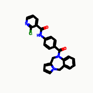 O=C(Nc1ccc(C(=O)N2Cc3cccn3Cc3ccccc32)cc1)c1cccnc1Cl